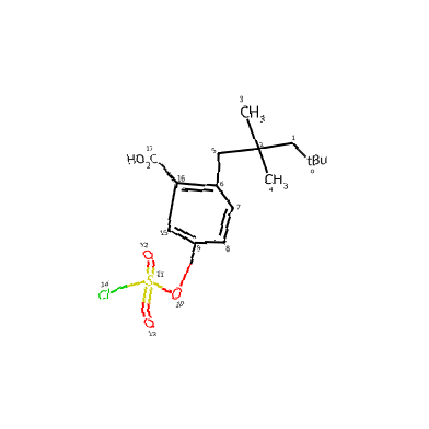 CC(C)(C)CC(C)(C)Cc1ccc(OS(=O)(=O)Cl)cc1C(=O)O